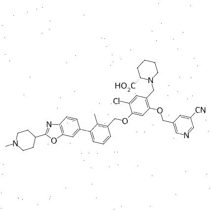 Cc1c(COc2cc(OCc3cncc(C#N)c3)c(CN3CCCC[C@H]3C(=O)O)cc2Cl)cccc1-c1ccc2nc(C3CCN(C)CC3)oc2c1